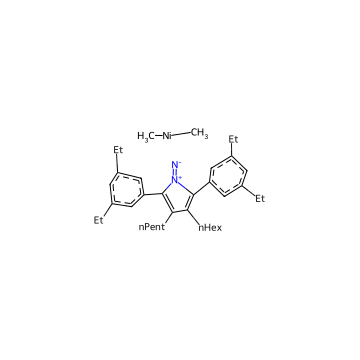 CCCCCCC1=C(c2cc(CC)cc(CC)c2)[N+](=[N-])C(c2cc(CC)cc(CC)c2)=C1CCCCC.[CH3][Ni][CH3]